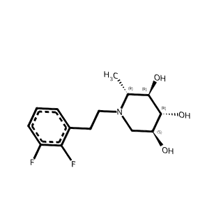 C[C@@H]1[C@@H](O)[C@H](O)[C@@H](O)CN1CCc1cccc(F)c1F